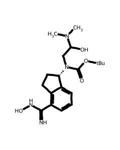 CN(C)C(O)CN(C(=O)OC(C)(C)C)[C@H]1CCc2c(C(=N)NO)cccc21